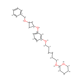 c1ccc(COC2CC(Oc3cccc(OCCCCCCOC4CCCCO4)c3)C2)cc1